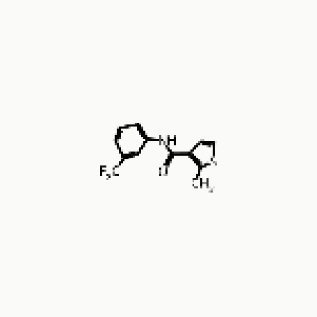 Cc1sccc1C(=O)Nc1cccc(C(F)(F)F)c1